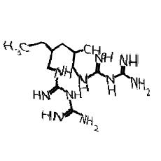 CCC(CNC(=N)NC(=N)N)CC(C)CNC(=N)NC(=N)N